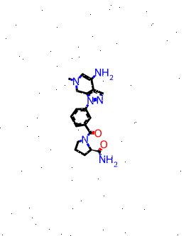 CN1C=C(N)c2cnn(-c3cccc(C(=O)N4CCC[C@@H]4C(N)=O)c3)c2C1